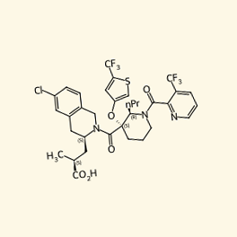 CCC[C@H]1N(C(=O)c2ncccc2C(F)(F)F)CCC[C@@]1(Oc1csc(C(F)(F)F)c1)C(=O)N1Cc2ccc(Cl)cc2C[C@@H]1C[C@H](C)C(=O)O